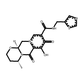 C[C@@H]1CCO[C@H]2Cn3cc(C(=O)NCc4cncs4)c(=O)c(O)c3C(=O)N12